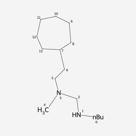 CCCCNCN(C)CCC1CCCCCC1